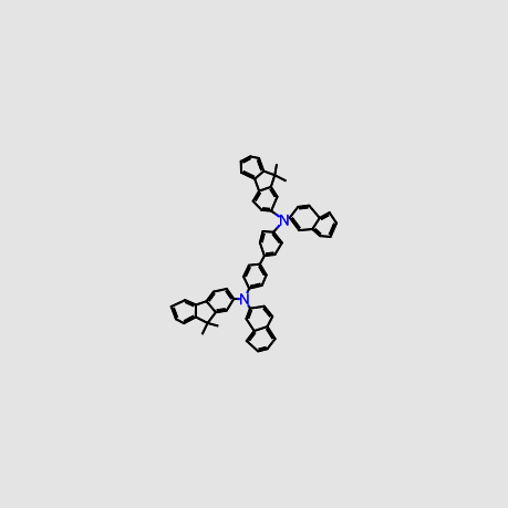 CC1(C)c2ccccc2-c2ccc(N(c3ccc(-c4ccc(N(c5ccc6c(c5)C(C)(C)c5ccccc5-6)c5ccc6ccccc6c5)cc4)cc3)c3ccc4ccccc4c3)cc21